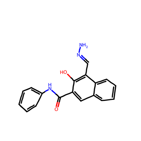 NN=Cc1c(O)c(C(=O)Nc2ccccc2)cc2ccccc12